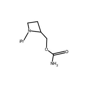 CC(C)N1CCC1COC(N)=O